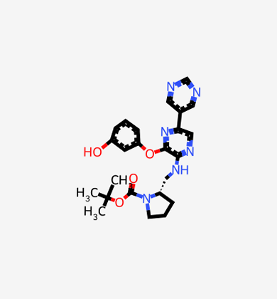 CC(C)(C)OC(=O)N1CCC[C@H]1CNc1ncc(-c2cncnc2)nc1Oc1cccc(O)c1